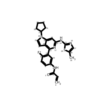 C=CC(=O)Nc1ccc(F)c(-c2nc(Nc3ncc(C)s3)cc3c2ccn3C2CCCC2)c1